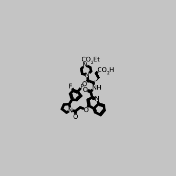 CCOC(=O)N1CCN(C(=O)[C@H](CCC(=O)O)NC(=O)c2cc(OCC(=O)N3CCCC3c3ccc(F)c(F)c3)c3ccccc3n2)CC1